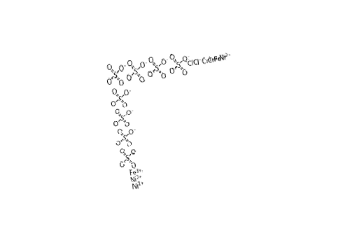 O=S(=O)([O-])[O-].O=S(=O)([O-])[O-].O=S(=O)([O-])[O-].O=S(=O)([O-])[O-].O=S(=O)([O-])[O-].O=S(=O)([O-])[O-].O=S(=O)([O-])[O-].O=S(=O)([O-])[O-].[Cl-].[Cl-].[Cr+3].[Cr+3].[Fe+3].[Fe+3].[Ni+2].[Ni+2].[Ni+2]